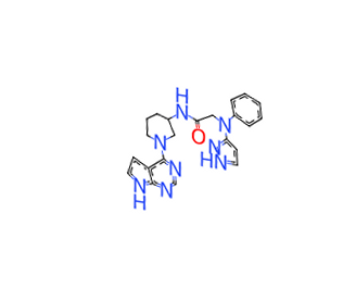 O=C(CN(c1ccccc1)c1cc[nH]n1)NC1CCCN(c2ncnc3[nH]ccc23)C1